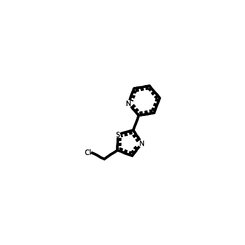 ClCc1cnc(-c2ccccn2)s1